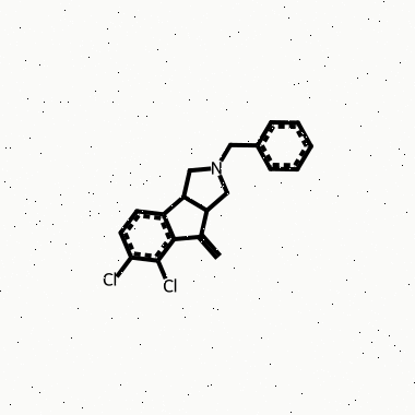 C=C1c2c(ccc(Cl)c2Cl)C2CN(Cc3ccccc3)CC12